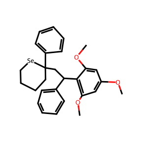 COc1cc(OC)c(C(CC2(c3ccccc3)CCCC[Se]2)c2ccccc2)c(OC)c1